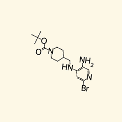 CC(C)(C)OC(=O)N1CCC(CNc2cc(Br)ncc2N)CC1